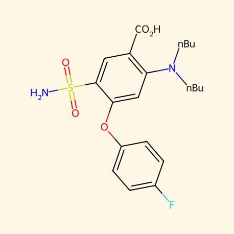 CCCCN(CCCC)c1cc(Oc2ccc(F)cc2)c(S(N)(=O)=O)cc1C(=O)O